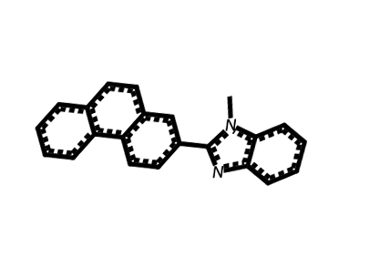 Cn1c(-c2ccc3c(ccc4ccccc43)c2)nc2ccccc21